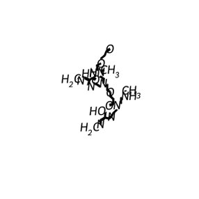 C=N/C=C(\C=N/CCN(CCNC)C(=O)CCOCCN(CC/N=C\C(=C/N=C)C(=O)NCCOCCC=O)CCNC)CO